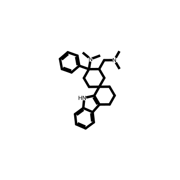 CN(C)CC1CC2(CCCc3c2[nH]c2ccccc32)CCC1(c1ccccc1)N(C)C